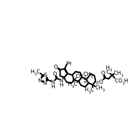 Cc1nnc(NC(=O)N[C@@]23CC[C@]4(C)C(CCC5[C@@]6(C)CC[C@H](OC(=O)CC(C)(C)C(=O)O)C(C)(C)C6CC[C@]54C)C2=C(C(C)C)C(=O)C3)s1